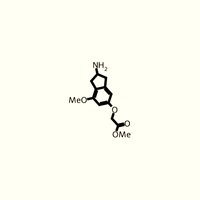 COC(=O)COc1cc2c(c(OC)c1)CC(N)C2